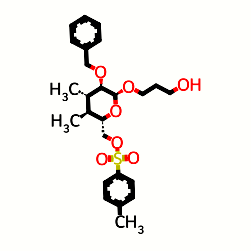 Cc1ccc(S(=O)(=O)OC[C@H]2O[C@H](OCCCO)[C@H](OCc3ccccc3)[C@@H](C)[C@@H]2C)cc1